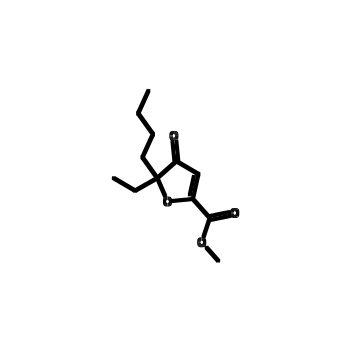 CCCCC1(CC)OC(C(=O)OC)=CC1=O